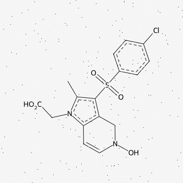 Cc1c(S(=O)(=O)c2ccc(Cl)cc2)c2c(n1CC(=O)O)C=CN(O)C2